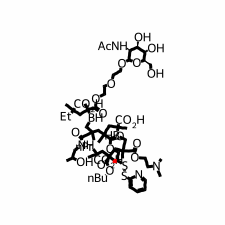 CCCCOC(=O)C(C)(CC(C)(CCC)C(=O)O)CC(C)(CBC(C)(CC(C)(CC(C)(CBC(C)(CC(C)(CC)C(=O)O)C(=O)OCCOCCOC1O[C@H](CO)[C@H](O)[C@H](O)[C@H]1NC(C)=O)C(=O)NCC(C)O)C(=O)OCCSSc1ccccn1)C(=O)O)C(=O)OCCN(C)C